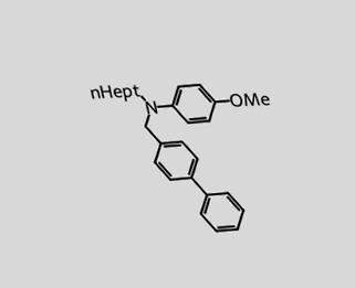 CCCCCCCN(Cc1ccc(-c2ccccc2)cc1)c1ccc(OC)cc1